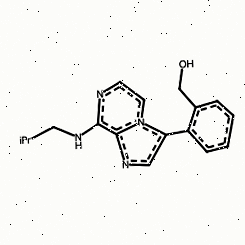 CC(C)CNc1nccn2c(-c3ccccc3CO)cnc12